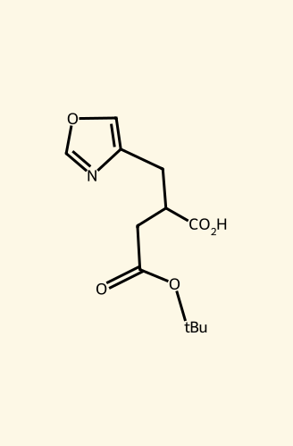 CC(C)(C)OC(=O)CC(Cc1cocn1)C(=O)O